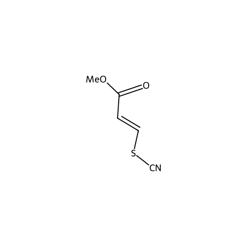 COC(=O)C=CSC#N